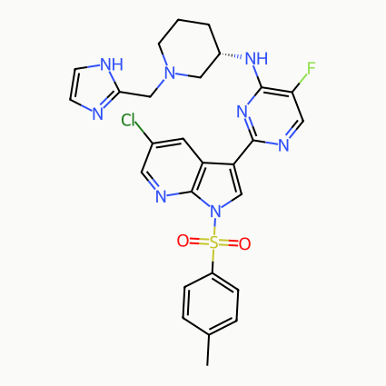 Cc1ccc(S(=O)(=O)n2cc(-c3ncc(F)c(N[C@H]4CCCN(Cc5ncc[nH]5)C4)n3)c3cc(Cl)cnc32)cc1